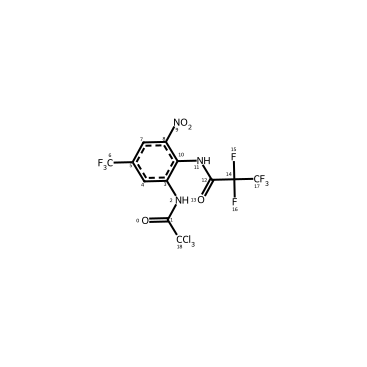 O=C(Nc1cc(C(F)(F)F)cc([N+](=O)[O-])c1NC(=O)C(F)(F)C(F)(F)F)C(Cl)(Cl)Cl